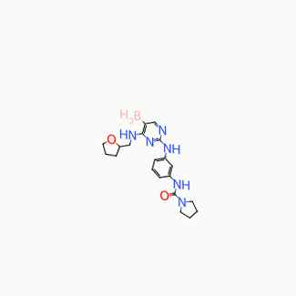 Bc1cnc(Nc2cccc(NC(=O)N3CCCC3)c2)nc1NCC1CCCO1